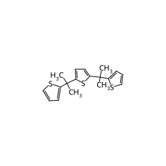 CC(C)(c1cccs1)c1ccc(C(C)(C)c2cccs2)s1